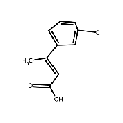 CC(=CC(=O)O)c1cccc(Cl)c1